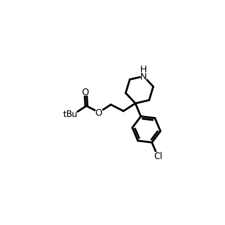 CC(C)(C)C(=O)OCCC1(c2ccc(Cl)cc2)CCNCC1